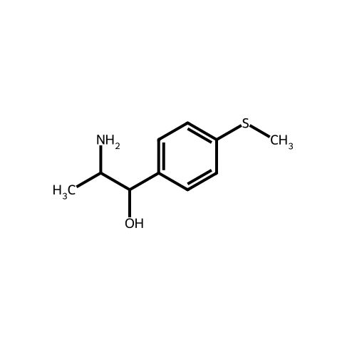 CSc1ccc(C(O)C(C)N)cc1